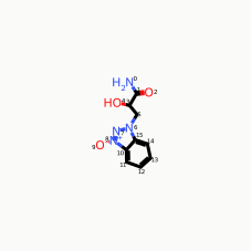 NC(=O)C(O)Cn1n[n+]([O-])c2ccccc21